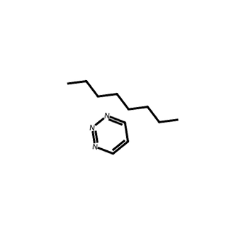 CCCCCCCC.c1cnnnc1